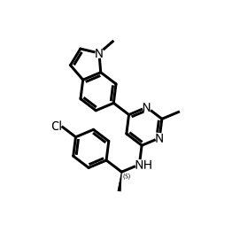 Cc1nc(N[C@@H](C)c2ccc(Cl)cc2)cc(-c2ccc3ccn(C)c3c2)n1